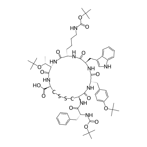 C[C@@H](OC(C)(C)C)[C@@H]1NC(=O)[C@H](CCCCNC(=O)OC(C)(C)C)NC(=O)[C@@H](Cc2c[nH]c3ccccc23)NC(=O)[C@H](Cc2ccc(OC(C)(C)C)cc2)NC(=O)[C@@H](NC(=O)[C@@H](Cc2ccccc2)NC(=O)OC(C)(C)C)CSSC[C@@H](C(=O)O)NC1=O